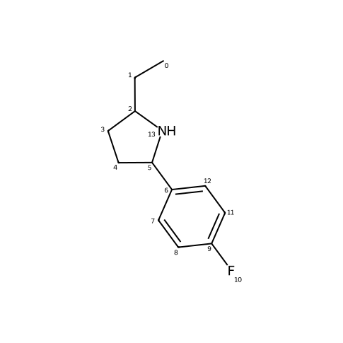 CCC1CCC(c2ccc(F)cc2)N1